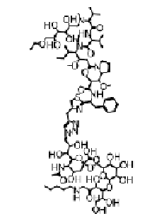 CCCCCNCC(O)C(O)C(OC1OC(COC2(C(=O)O)CC(O)C(NC(C)=O)C(C(O)C(O)Cn3cc(Cc4csc(C(Cc5ccccc5)NC(=O)C(C)C(OC)C5CCCN5C(=O)CC(OC)C(C(C)CC)N(C)C(=O)C(NC(=O)C(C(C)C)N(C)CC(O)C(O)C(O)C(O)COCC)C(C)C)n4)nn3)O2)C(O)C(O)C1O)C(O)CO